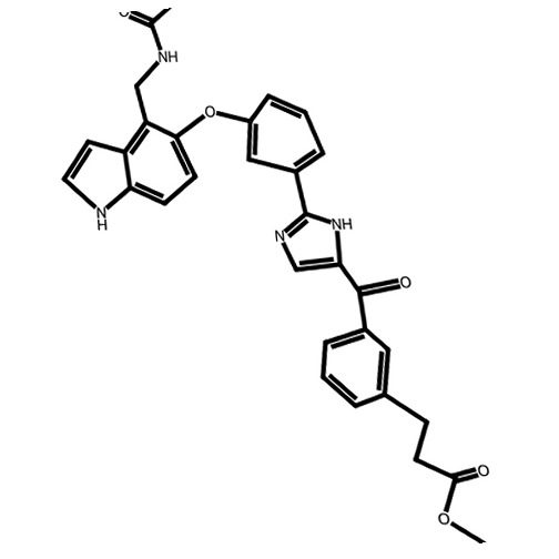 COC(=O)CCc1cccc(C(=O)c2cnc(-c3cccc(Oc4ccc5[nH]ccc5c4CNC(C)=O)c3)[nH]2)c1